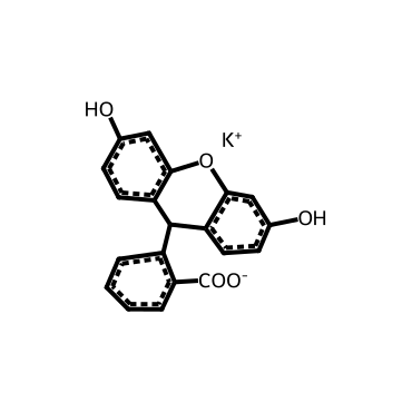 O=C([O-])c1ccccc1C1c2ccc(O)cc2Oc2cc(O)ccc21.[K+]